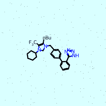 CCCCC1=C(C(F)(F)F)N(C2CCCCC2)CN1Cc1ccc(-c2ccccc2-c2nnn[nH]2)cc1